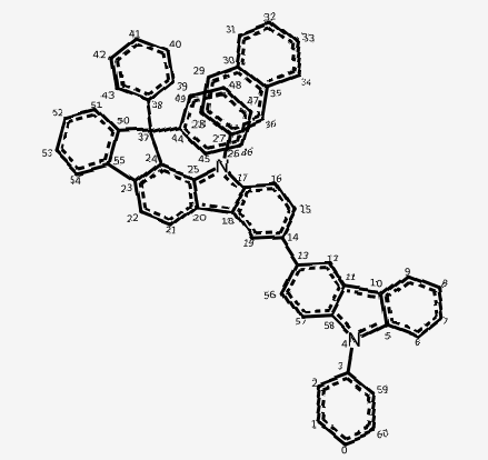 c1ccc(-n2c3ccccc3c3cc(-c4ccc5c(c4)c4ccc6c(c4n5-c4ccc5ccccc5c4)C(c4ccccc4)(c4ccccc4)c4ccccc4-6)ccc32)cc1